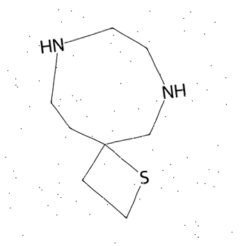 C1CNCC2(CCN1)CCS2